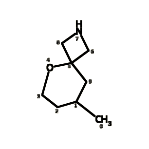 CC1CCOC2(CNC2)C1